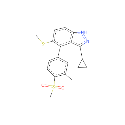 CSc1ccc2[nH]nc(C3CC3)c2c1-c1ccc(S(C)(=O)=O)c(C)c1